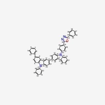 c1ccc(-c2ccc3c(c2)c2cc(-c4ccc5c(c4)c4ccccc4n5-c4ccc(-c5nnc(-c6ccccc6)o5)cc4)ccc2n3-c2ccccc2)cc1